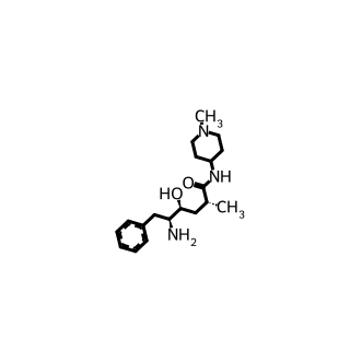 C[C@H](C[C@H](O)[C@@H](N)Cc1ccccc1)C(=O)NC1CCN(C)CC1